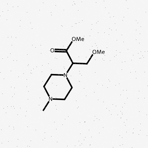 COCC(C(=O)OC)N1CCN(C)CC1